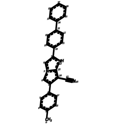 Cc1ccc(-c2cn3cc(-c4ccc(-c5ccccc5)cc4)[nH]c3c2C#N)cc1